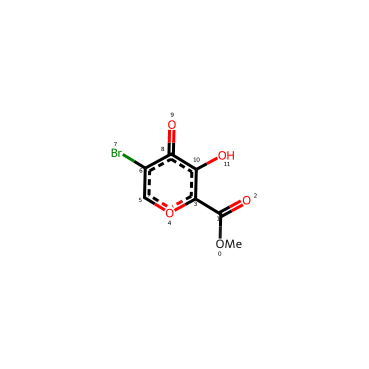 COC(=O)c1occ(Br)c(=O)c1O